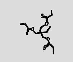 CCC(=S)OCC(CC)(COC(=S)CC)COC(=S)CC